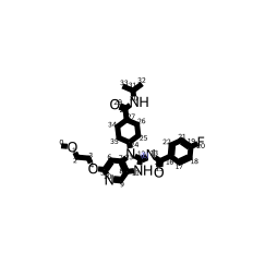 COCCOc1cc2c(cn1)[nH]/c(=N\C(=O)c1ccc(F)cc1)n2C1CCC(C(=O)NC(C)C)CC1